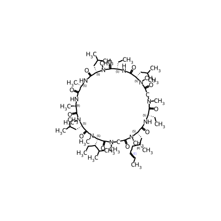 C/C=C/C[C@@H](C)C[C@H]1C(=O)N[C@@H](CC)C(=O)N(C)CC(=O)N(C)[C@@H](CC(C)C)C(=O)N[C@@H](CC)C(=O)N(C)[C@@H](CC(C)C)C(=O)N[C@@H](C)C(=O)N[C@H](C)C(=O)N(C)[C@@H](CC(C)C)C(=O)N(C)[C@@H](C(CC)C(C)C)C(=O)N(C)CC(=O)N1C